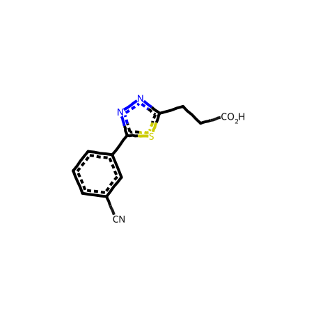 N#Cc1cccc(-c2nnc(CCC(=O)O)s2)c1